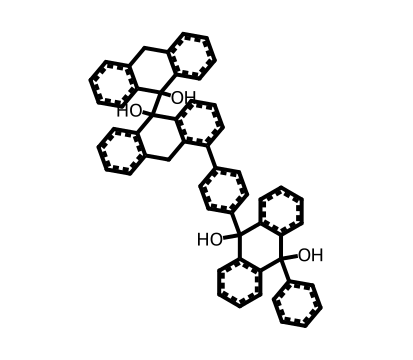 OC1(c2ccccc2)c2ccccc2C(O)(c2ccc(-c3cccc4c3Cc3ccccc3C4(O)C3(O)c4ccccc4Cc4ccccc43)cc2)c2ccccc21